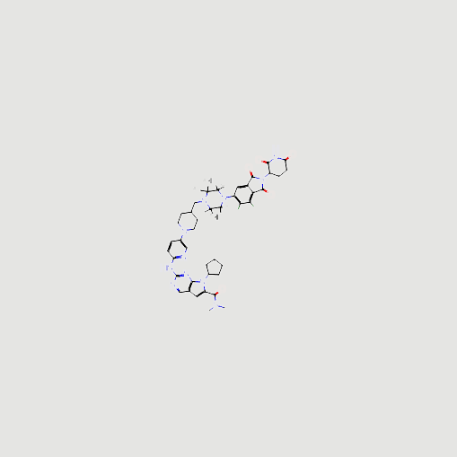 [2H]C1([2H])N(CC2CCN(c3ccc(Nc4ncc5cc(C(=O)N(C)C)n(C6CCCC6)c5n4)nc3)CC2)C([2H])([2H])C([2H])([2H])N(c2cc3c(c(F)c2F)C(=O)N(C2CCC(=O)NC2=O)C3=O)C1([2H])[2H]